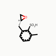 Cc1cccc(C[C@@H]2CO2)c1S(=O)(=O)O